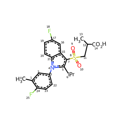 Cc1cc(-n2c(C(C)C)c(S(=O)(=O)CC(C)C(=O)O)c3cc(F)ccc32)ccc1F